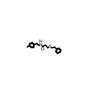 Cc1ccc(CCNC(=O)CCSCCc2ccccc2)cc1